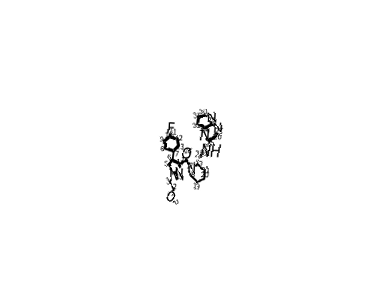 COCCn1cc(-c2ccc(F)cc2)c(C(=O)N2CCCC[C@H]2CNc2cnc3ncccc3n2)n1